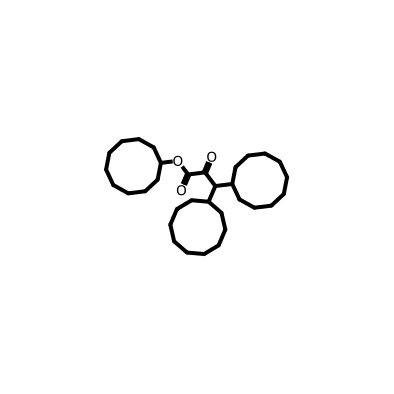 O=C(OC1CCCCCCCCC1)C(=O)C(C1CCCCCCCCC1)C1CCCCCCCCC1